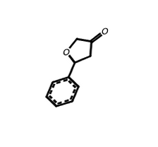 O=C1COC(c2ccccc2)C1